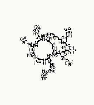 CC(C)CCCCC(=O)N[C@@H](CCNCS(=O)(=O)[O-])C(=O)N[C@H](C(=O)N[C@@H](CCNCS(=O)(=O)[O-])C(=O)N[C@H]1CCNC(=O)[C@H]([C@@H](C)O)NC(=O)[C@H](CCNCS(=O)(=O)[O-])NC(=O)[C@H](CCNCS(=O)(=O)[O-])NC(=O)[C@H](CC(C)C)NC(=O)[C@@H](CC(C)C)NC(=O)[C@H](CCNCS(=O)(=O)[O-])NC1=O)[C@@H](C)O.[Na+].[Na+].[Na+].[Na+].[Na+]